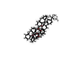 CC(C)(C)c1ccc2c(c1)C1(c3ccccc3Sc3ccc(N(c4ccc5c(c4)C4(c6ccccc6O5)c5ccccc5-c5ccccc54)c4cccc5sc6ccccc6c45)cc31)c1cc(C(C)(C)C)ccc1-2